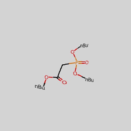 CCCCOC(=O)CP(=O)(OCCCC)OCCCC